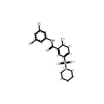 O=C(Nc1cc(Cl)cc(Cl)c1)C1=CC(S(=O)(=O)N2CCCCC2)=CCC1F